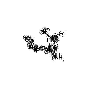 CC(C)OCCC(C)(C)NC(=O)C(CCC(=O)NC(C(=O)N[C@@H](CCCNC(N)=O)C(=O)Nc1ccc(COC(=O)N(C)CCN(C)C(=O)Oc2ccc3ccc(=O)oc3c2)cc1)C(C)C)NC(=O)CCCCCN1C(=O)C=CC1=O